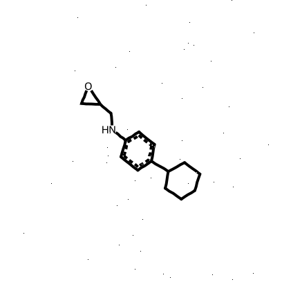 c1cc(C2CCCCC2)ccc1NCC1CO1